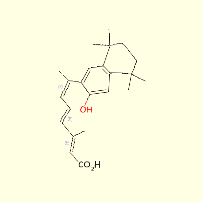 C/C(=C/C=C/C(C)=C/C(=O)O)c1cc2c(cc1O)C(C)(C)CCC2(C)C